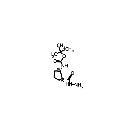 CC(C)(C)OC(=O)N[C@H]1CCC[C@H]1C(=O)NN